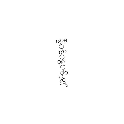 C=CC(=O)OCOC(=O)C1CCC(C(=O)OC2CCC(OC(=O)C3CCC(C(=O)O)CC3)CC2)CC1